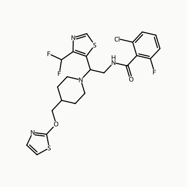 O=C(NCC(c1scnc1C(F)F)N1CCC(COc2nccs2)CC1)c1c(F)cccc1Cl